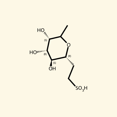 CC1O[C@H](CCS(=O)(=O)O)[C@@H](O)[C@H](O)[C@@H]1O